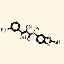 CC(C)N(C(=O)/C(C#N)=C(\O)c1cccc(C(F)(F)F)c1)c1ccc2nc(S)sc2c1